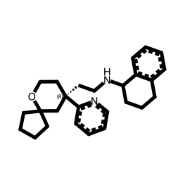 c1ccc([C@]2(CCNC3CCCc4ccccc43)CCOC3(CCCC3)C2)nc1